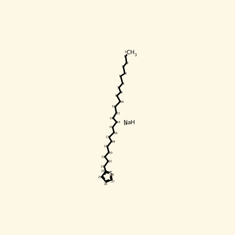 CCCCCCCCCCCCCCCCCCCCCCCCc1cccs1.[NaH]